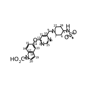 CS(=O)(=O)NC1CCN(Cc2cc(Oc3ccc4c(ccn4C(=O)O)c3)ncn2)CC1